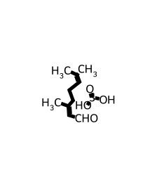 CC(C)=CCCC(C)=CC=O.O=S(O)O